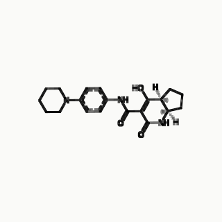 O=C(Nc1ccc(N2CCCCC2)cc1)C1=C(O)[C@H]2CCC[C@H]2NC1=O